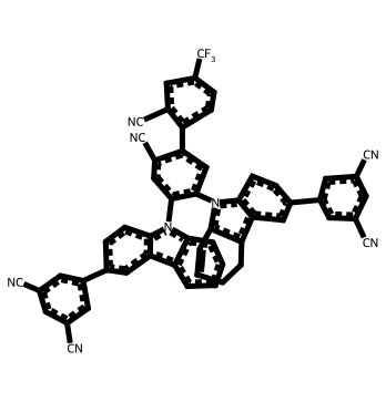 N#Cc1cc(C#N)cc(-c2ccc3c(c2)c2c(n3-c3cc(-c4ccc(C(F)(F)F)cc4C#N)c(C#N)cc3-n3c4ccccc4c4cc(-c5cc(C#N)cc(C#N)c5)ccc43)C=CCC2)c1